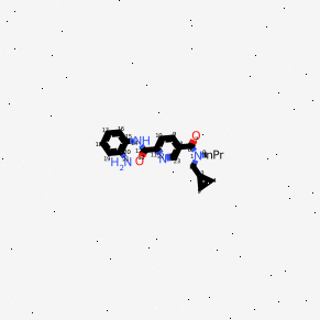 CCCN(CC1CC1)C(=O)c1ccc(C(=O)Nc2ccccc2N)nc1